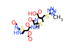 Cn1nnnc1SCC1=C(C(=O)O)N2C(=O)C(NC(=O)C(OC=O)c3c[nH]/c(=N/C=O)s3)[C@H]2SC1